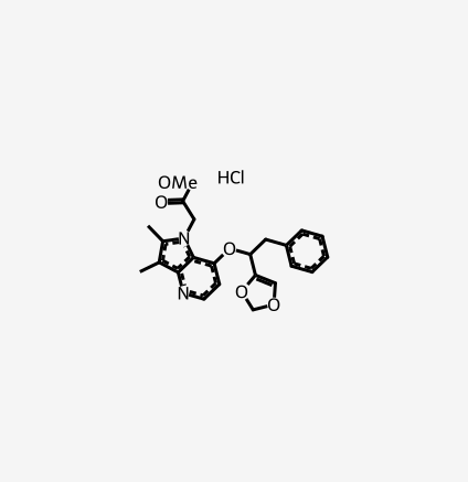 COC(=O)Cn1c(C)c(C)c2nccc(OC(Cc3ccccc3)C3=COCO3)c21.Cl